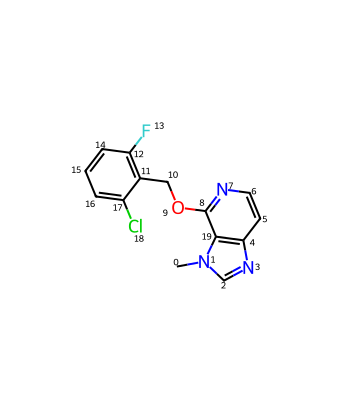 Cn1cnc2ccnc(OCc3c(F)cccc3Cl)c21